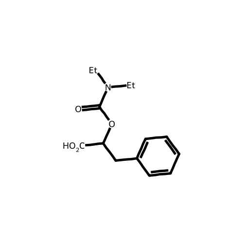 CCN(CC)C(=O)OC(Cc1ccccc1)C(=O)O